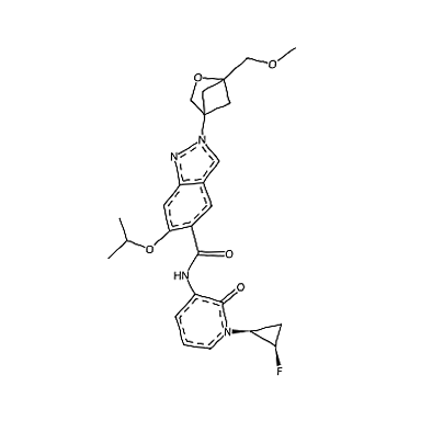 COCC12CC(n3cc4cc(C(=O)Nc5cccn([C@H]6C[C@H]6F)c5=O)c(OC(C)C)cc4n3)(CO1)C2